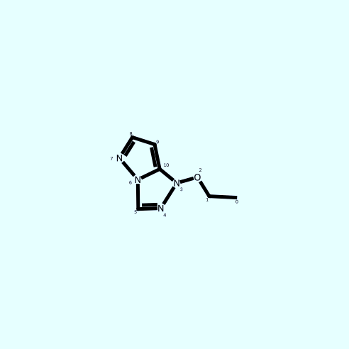 CCOn1ncn2nccc12